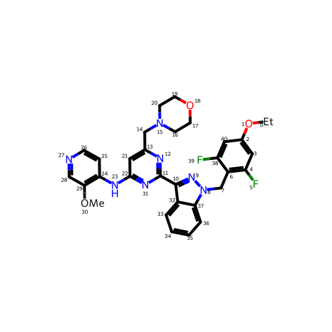 CCOc1cc(F)c(Cn2nc(-c3nc(CN4CCOCC4)cc(Nc4ccncc4OC)n3)c3ccccc32)c(F)c1